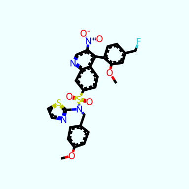 COc1ccc(CN(c2nccs2)S(=O)(=O)c2ccc3c(-c4ccc(CF)cc4OC)c([N+](=O)[O-])cnc3c2)cc1